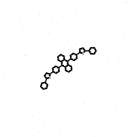 c1ccc(-c2ccc(-c3ccc(-c4c5ccccc5c(-c5ccc(-c6ccc(-c7ccccc7)s6)cc5)c5ccccc45)cc3)s2)cc1